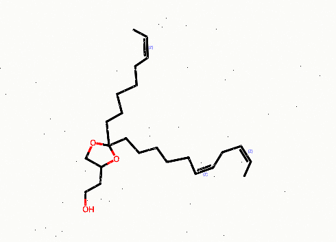 C/C=C\C/C=C\CCCCCC1(CCCCC/C=C\C)OCC(CCO)O1